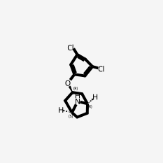 Clc1cc(Cl)cc(O[C@H]2C[C@H]3CC[C@@H](C2)N3)c1